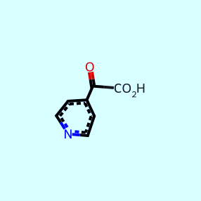 O=C(O)C(=O)c1ccncc1